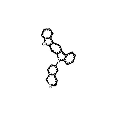 c1ccc2c(c1)oc1cc3c(cc12)c1ccccc1n3-c1ccc2cnccc2c1